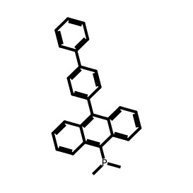 CP(C)c1c2ccccc2c(-c2ccc(-c3ccccc3)cc2)c2ccccc12